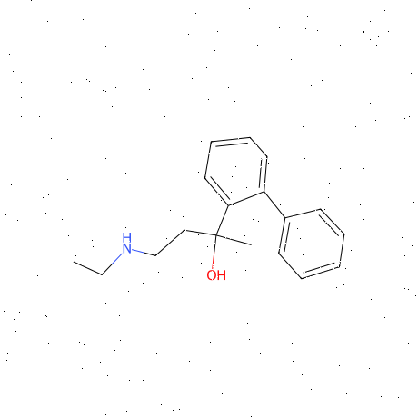 CCNCCC(C)(O)c1ccccc1-c1ccccc1